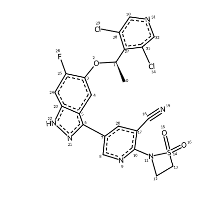 C[C@@H](Oc1cc2c(-c3cnc(N4CCS4(=O)=O)c(C#N)c3)n[nH]c2cc1F)c1c(Cl)cncc1Cl